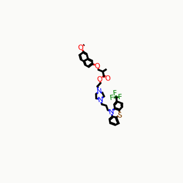 COc1ccc2ccc(OCC(C)C(=O)OCCN3CCN(CCCN4c5ccccc5Sc5ccc(C(F)(F)F)cc54)CC3)cc2c1